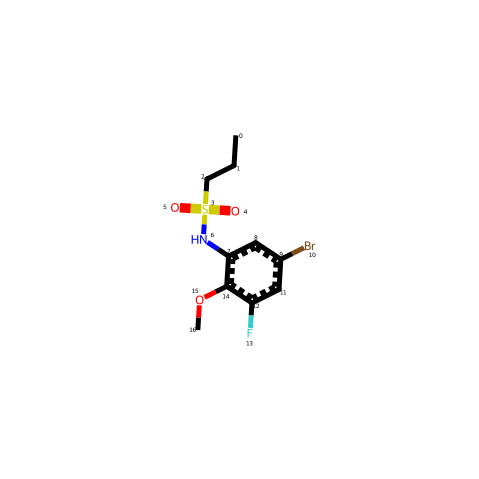 CCCS(=O)(=O)Nc1cc(Br)cc(F)c1OC